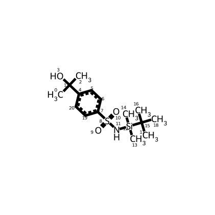 CC(C)(O)c1ccc(S(=O)(=O)N[Si](C)(C)C(C)(C)C)cc1